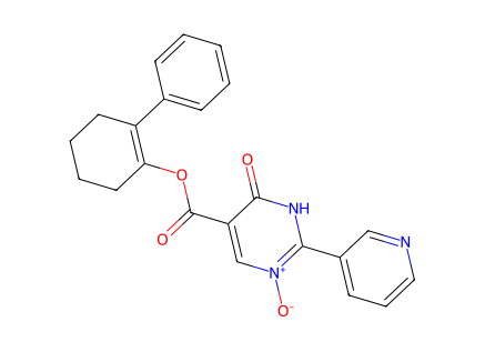 O=C(OC1=C(c2ccccc2)CCCC1)c1c[n+]([O-])c(-c2cccnc2)[nH]c1=O